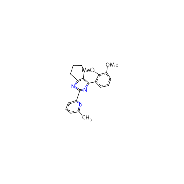 COc1cccc(-c2nc(-c3cccc(C)n3)nc3c2CCCC3)c1OC